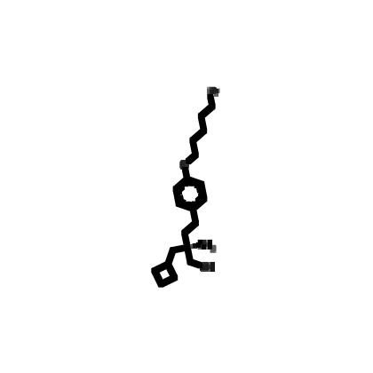 CC(C)CCCCCOc1ccc(CC[C@@](N)(CO)CC2CCC2)cc1